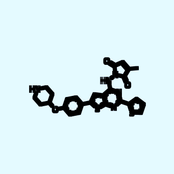 CC1=CC(=O)N(Nc2nc(-c3cccs3)nc3sc(-c4ccc(OC5CCNCC5)cc4)cc23)C1=O